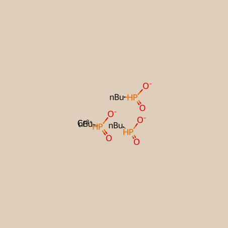 CCCC[PH](=O)[O-].CCCC[PH](=O)[O-].CCCC[PH](=O)[O-].[Cr+3]